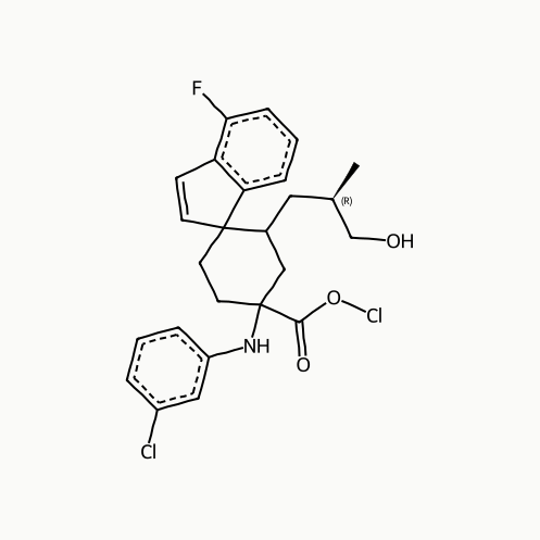 C[C@@H](CO)CC1CC(Nc2cccc(Cl)c2)(C(=O)OCl)CCC12C=Cc1c(F)cccc12